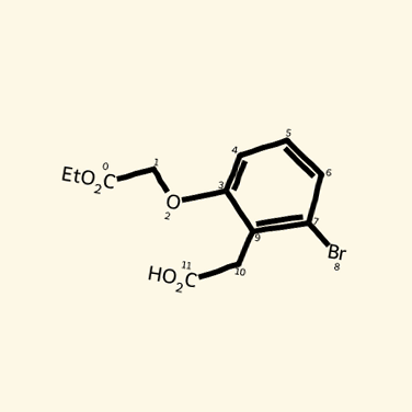 CCOC(=O)COc1cccc(Br)c1CC(=O)O